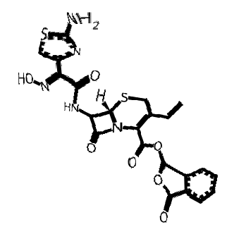 C=CC1=C(C(=O)OC2OC(=O)c3ccccc32)N2C(=O)C(NC(=O)C(=NO)c3csc(N)n3)[C@@H]2SC1